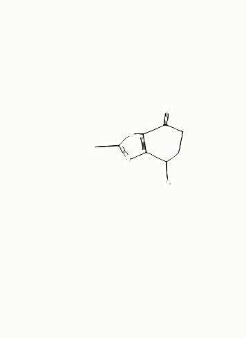 Cc1nc2c(s1)C(=O)CCC2Br